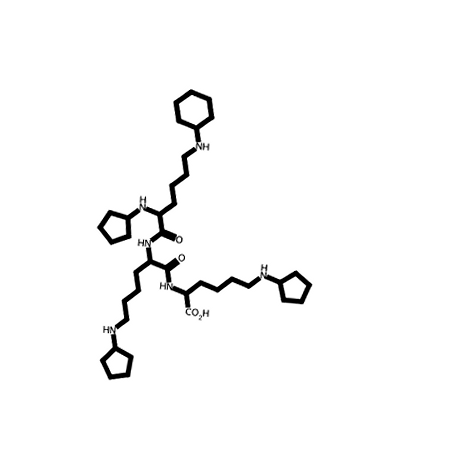 O=C(O)C(CCCCNC1CCCC1)NC(=O)C(CCCCNC1CCCC1)NC(=O)C(CCCCNC1CCCCC1)NC1CCCC1